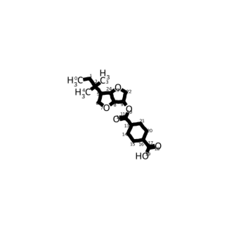 CCC(C)(C)C1COC2C(OC(=O)C3CCC(C(=O)O)CC3)COC21